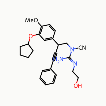 COc1ccc(C(C#Cc2ccccc2)CN(C#N)/C(N)=N/CCO)cc1OC1CCCC1